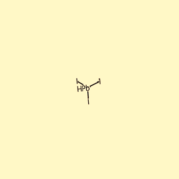 [I][PbH]([I])[I]